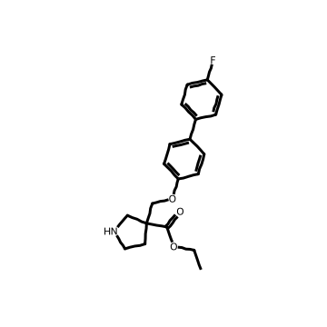 CCOC(=O)C1(COc2ccc(-c3ccc(F)cc3)cc2)CCNC1